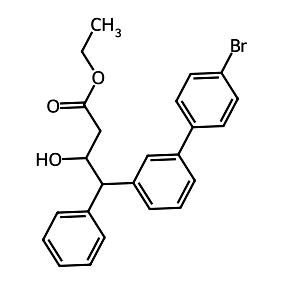 CCOC(=O)CC(O)C(c1ccccc1)c1cccc(-c2ccc(Br)cc2)c1